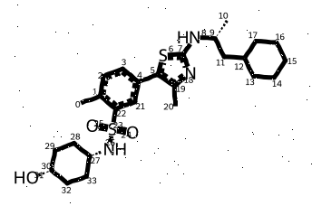 Cc1ccc(-c2sc(N[C@H](C)CC3CCCCC3)nc2C)cc1S(=O)(=O)N[C@H]1CC[C@@H](O)CC1